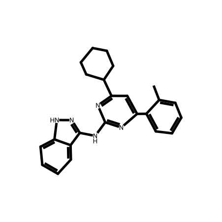 Cc1ccccc1-c1cc(C2CCCCC2)nc(Nc2n[nH]c3ccccc23)n1